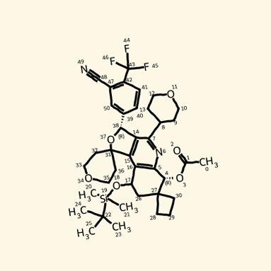 CC(=O)O[C@H]1c2nc(C3CCOCC3)c3c(c2C(O[Si](C)(C)C(C)(C)C)CC12CCC2)C1(CCOCC1)O[C@@H]3c1ccc(C(F)(F)F)c(C#N)c1